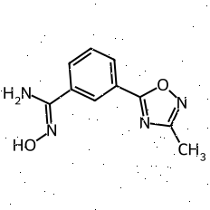 Cc1noc(-c2cccc(/C(N)=N/O)c2)n1